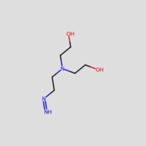 N=NCCN(CCO)CCO